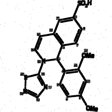 COc1ccc(C2c3ccc(S(=O)(=O)O)cc3C=CN2c2ncns2)c(OC)c1